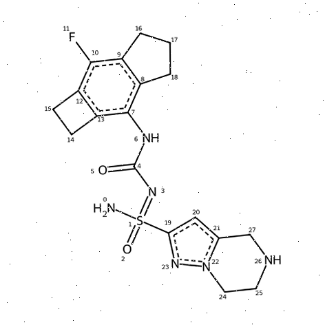 NS(=O)(=NC(=O)Nc1c2c(c(F)c3c1CC3)CCC2)c1cc2n(n1)CCNC2